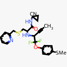 CC#CC(NC(CSCc1ccccn1)C(=O)NC1(C#N)CC1)C(F)(F)Oc1ccc(SC)cc1